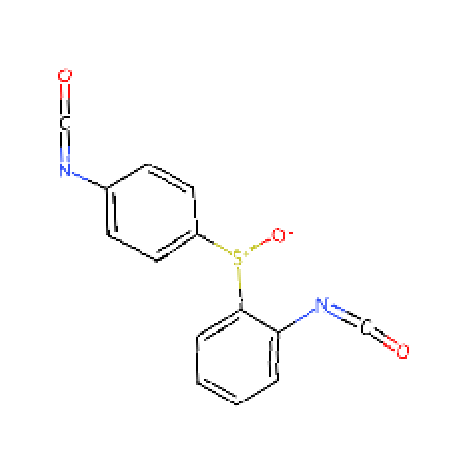 O=C=Nc1ccc([S+]([O-])c2ccccc2N=C=O)cc1